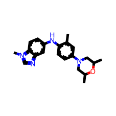 Cc1cc(N2CC(C)OC(C)C2)ccc1Nc1ccc2c(c1)ncn2C